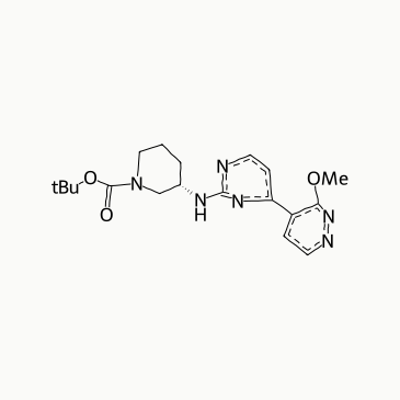 COc1nnccc1-c1ccnc(N[C@H]2CCCN(C(=O)OC(C)(C)C)C2)n1